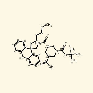 COCCCCC1(CNC(=O)[C@H]2C[C@H](C(=O)O)CN(C(=O)OC(C)(C)C)C2)c2ccccc2Oc2ccccc21